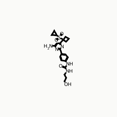 Nc1cc(C2(S(=O)(=O)C3CC3)CCC2)nc(-c2ccc(NC(=O)NCCCO)cc2)n1